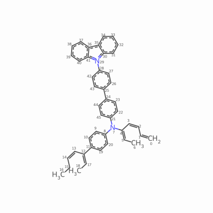 C=C/C=C\C(=C/C)N(c1ccc(C(/C=C\CC)=C/C)cc1)c1ccc(-c2ccc(-n3c4ccccc4c4ccccc43)cc2)cc1